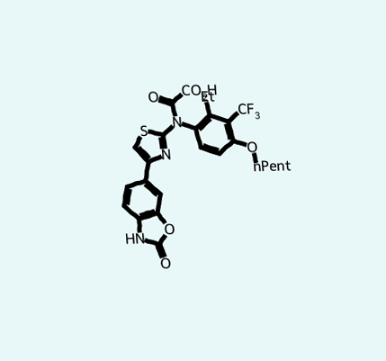 CCCCCOc1ccc(N(C(=O)C(=O)O)c2nc(-c3ccc4[nH]c(=O)oc4c3)cs2)c(CC)c1C(F)(F)F